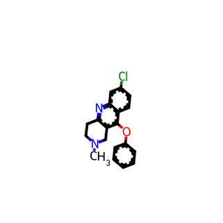 CN1CCc2nc3cc(Cl)ccc3c(Oc3ccccc3)c2C1